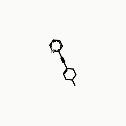 CC1CC=C(C#Cc2ccccn2)CC1